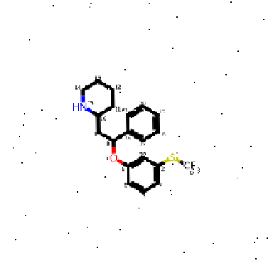 FC(F)(F)Sc1cccc(OC(CC2CCCCN2)c2ccccc2)c1